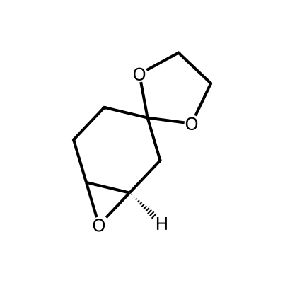 C1COC2(CCC3O[C@@H]3C2)O1